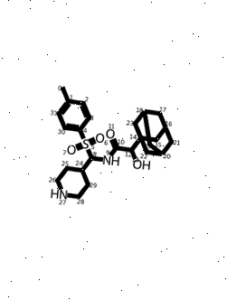 Cc1ccc(S(=O)(=O)C(NC(=O)C(O)C23CC4CC(CC(C4)C2)C3)C2CCNCC2)cc1